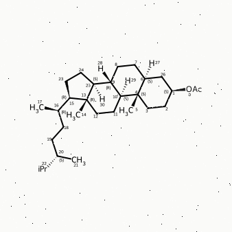 CC(=O)O[C@H]1CC[C@@]2(C)[C@@H](CC[C@@H]3[C@@H]2CC[C@]2(C)[C@@H]([C@H](C)CC[C@H](C)C(C)C)CC[C@@H]32)C1